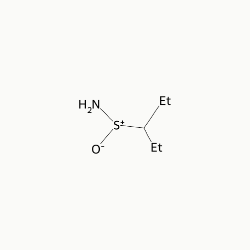 CCC(CC)[S+](N)[O-]